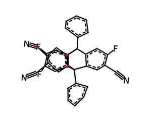 N#Cc1cc2c(cc1F)C1(c3ccccc3)c3cc(C#N)c(F)cc3C2(c2ccccc2)c2cc(F)c(C#N)cc21